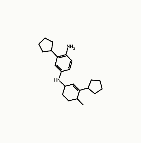 CC1CCC(Nc2ccc(N)c(C3CCCC3)c2)C=C1C1CCCC1